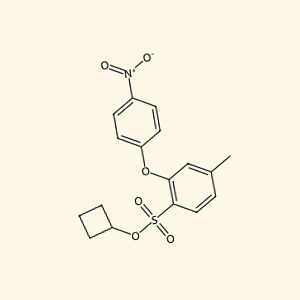 Cc1ccc(S(=O)(=O)OC2CCC2)c(Oc2ccc([N+](=O)[O-])cc2)c1